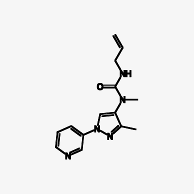 C=CCNC(=O)N(C)c1cn(-c2cccnc2)nc1C